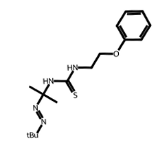 CC(C)(C)N=NC(C)(C)NC(=S)NCCOc1ccccc1